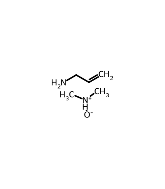 C=CCN.C[NH+](C)[O-]